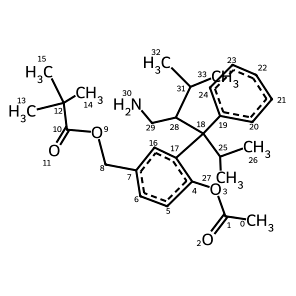 CC(=O)Oc1ccc(COC(=O)C(C)(C)C)cc1C(c1ccccc1)(C(C)C)C(CN)C(C)C